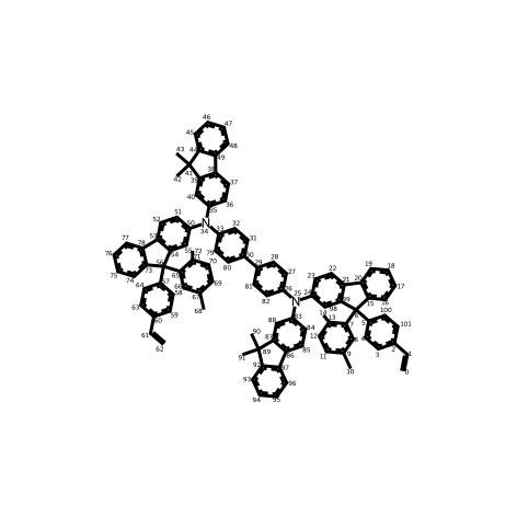 C=Cc1ccc(C2(c3cc(C)ccc3C)c3ccccc3-c3ccc(N(c4ccc(-c5ccc(N(c6ccc7c(c6)C(C)(C)c6ccccc6-7)c6ccc7c(c6)C(c6ccc(C=C)cc6)(c6cc(C)ccc6C)c6ccccc6-7)cc5)cc4)c4ccc5c(c4)C(C)(C)c4ccccc4-5)cc32)cc1